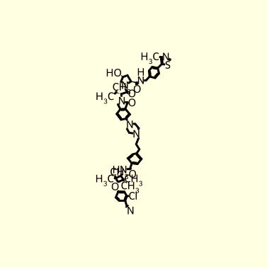 Cc1ncsc1-c1ccc(CNC(=O)[C@@H]2C[C@@H](O)CN2C(=O)[C@@H](C(C)C)N2Cc3ccc(N4CCN(CCCc5ccc(C(=O)NC6C(C)(C)C(Oc7ccc(C#N)c(Cl)c7)C6(C)C)cc5)CC4)cc3C2=O)cc1